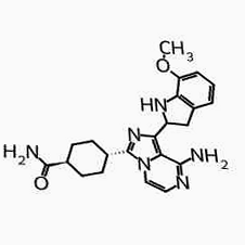 COc1cccc2c1NC(c1nc([C@H]3CC[C@H](C(N)=O)CC3)n3ccnc(N)c13)C2